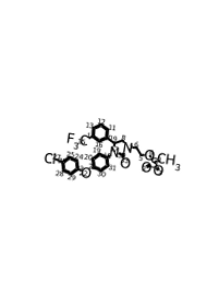 CS(=O)(=O)OCCN1CC(c2cccc(C(F)(F)F)c2)N(c2ccc(Oc3ccc(Cl)cc3)cc2)C1=O